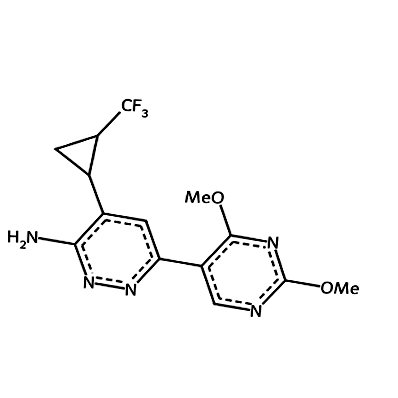 COc1ncc(-c2cc(C3CC3C(F)(F)F)c(N)nn2)c(OC)n1